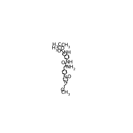 COCCCN1CCN(c2ccc(C[C@H](N)C(=O)Nc3ccc4[nH]c(C(=O)OC(C)(C)C)cc4c3)cc2)C(=O)C1